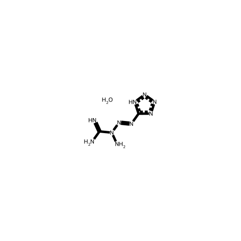 N=C(N)N(N)N=Nc1nnn[nH]1.O